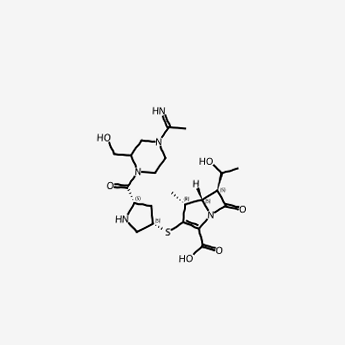 CC(=N)N1CCN(C(=O)[C@@H]2C[C@H](SC3=C(C(=O)O)N4C(=O)[C@H](C(C)O)[C@H]4[C@H]3C)CN2)C(CO)C1